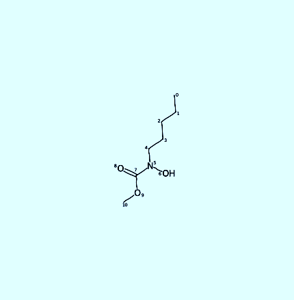 CCCCCN(O)C(=O)OC